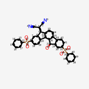 N#CC(C#N)=C1c2cc(S(=O)(=O)c3ccccc3)ccc2-c2c1ccc1c2C(=O)c2cc(S(=O)(=O)c3ccccc3)ccc2-1